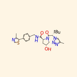 Cc1cn([C@H](C(=O)N2C[C@H](O)C[C@H]2C(=O)NCc2ccc(-c3scnc3C)cc2)C(C)(C)C)nn1